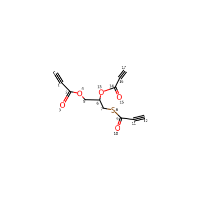 C#CC(=O)OCC(CSC(=O)C#C)OC(=O)C#C